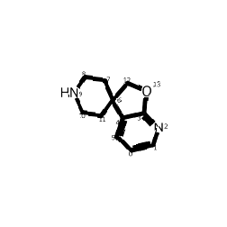 c1cnc2c(c1)C1(CCNCC1)CO2